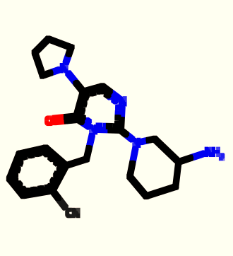 N#Cc1ccccc1Cn1c(N2CCCC(N)C2)ncc(N2CCCC2)c1=O